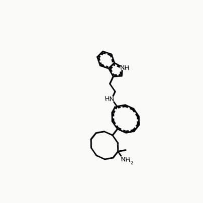 CC1(N)CCCCCCCC(c2ccccccc(NCCc3c[nH]c4ccccc34)cc2)C1